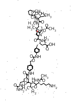 CC[C@H](C)[C@H](NC(=O)[C@@]1(C)CCCN1C)C(=O)N(C)[C@H](C[C@@H](OC(C)=O)c1nc(C(=O)N[C@@H](Cc2ccc(NC(=O)OCc3ccc(NC(=O)[C@H](CCCNC(N)=O)NC(=O)[C@@H](NC(=O)[C@H](CCCCN)NC(C)=O)C(C)C)cc3)cc2)C[C@H](C)C(=O)O)cs1)C(C)C